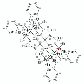 CCC1(CC)CC(C(C2CC(CC)(CC)N(Cc3ccccc3)C(CC)(CC)C2)(N(C(=O)O)C(=O)O)C(C2CC(CC)(CC)N(Cc3ccccc3)C(CC)(CC)C2)(C2CC(CC)(CC)N(Cc3ccccc3)C(CC)(CC)C2)N(C(=O)O)C(=O)O)CC(CC)(CC)N1Cc1ccccc1